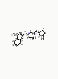 N=C/C(=C\N=C\C1CCNC1)Oc1nc(O)c2ccncc2n1